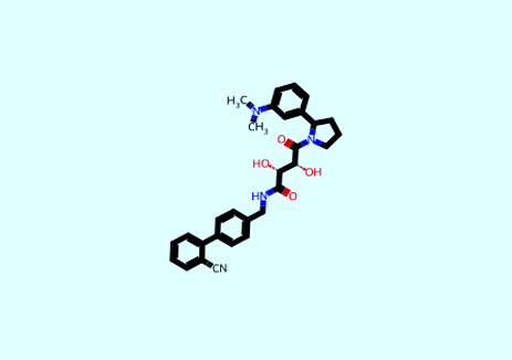 CN(C)c1cccc(C2CCCN2C(=O)[C@H](O)[C@@H](O)C(=O)NCc2ccc(-c3ccccc3C#N)cc2)c1